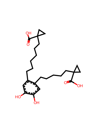 O=C(O)C1(CCCCCCc2cc(O)c(O)cc2CCCCCC2(C(=O)O)CC2)CC1